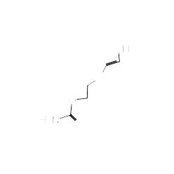 CC=COCCOC(N)=O